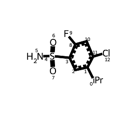 CC(C)c1cc(S(N)(=O)=O)c(F)cc1Cl